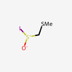 CSC[S+]([O-])I